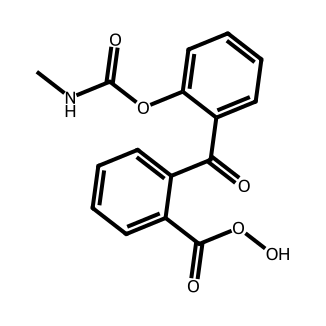 CNC(=O)Oc1ccccc1C(=O)c1ccccc1C(=O)OO